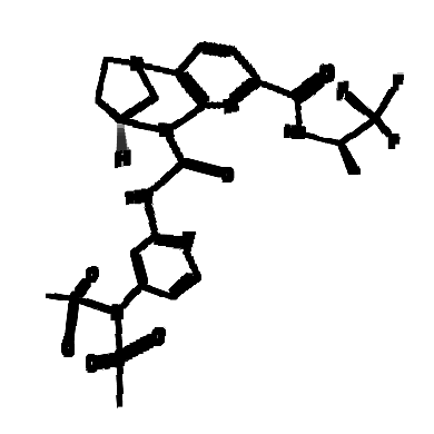 C[C@@H](NC(=O)c1ccc2c(n1)N(C(=O)Nc1cc(N(S(C)(=O)=O)S(C)(=O)=O)ccn1)[C@H]1CCN2C1)C(F)(F)F